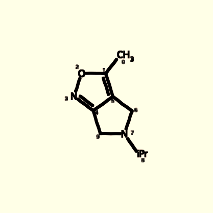 Cc1onc2c1CN(C(C)C)C2